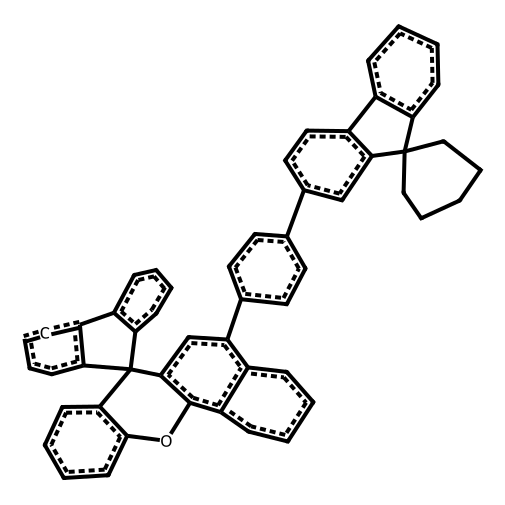 c1ccc2c(c1)Oc1c(cc(-c3ccc(-c4ccc5c(c4)C4(CCCCC4)c4ccccc4-5)cc3)c3ccccc13)C21c2ccccc2-c2ccccc21